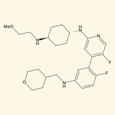 COCCN[C@H]1CC[C@H](Nc2cc(-c3cc(NCC4CCOCC4)ccc3F)c(F)cn2)CC1